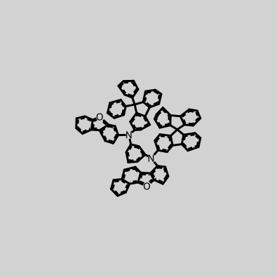 c1ccc(C2(c3ccccc3)c3ccccc3-c3ccc(N(c4cccc(N(c5ccc6c(c5)-c5ccccc5C65c6ccccc6-c6ccccc65)c5cccc6oc7c8ccccc8ccc7c56)c4)c4ccc5c(c4)oc4ccccc45)cc32)cc1